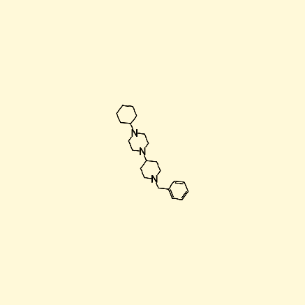 c1ccc(CN2CCC(N3CCN(C4CCCCC4)CC3)CC2)cc1